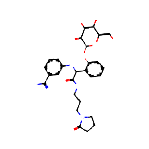 N=C(N)c1cccc(NC(C(=O)NCCCN2CCCC2=O)c2ccccc2OC2OC(CO)C(O)C(O)C2O)c1